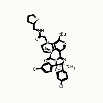 CCOc1cc(C(C)(C)C)ncc1C1=N[C@@](C)(c2ccc(Cl)cc2)[C@@](C)(c2ccc(Cl)cc2)N1C(=O)N1CCN(CC(=O)NCC2CCCO2)CC1